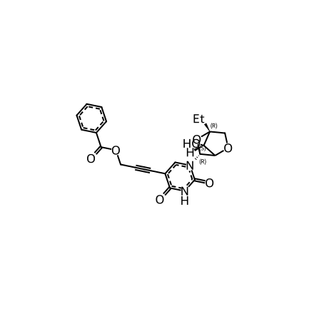 CC[C@]12COC([C@H](n3cc(C#CCOC(=O)c4ccccc4)c(=O)[nH]c3=O)O1)[C@@H]2O